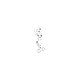 O=C1CCC(N2C(=O)c3ccc(C(=O)N4CCN(C5c6ccccc6-c6ccccc65)CC4)cc3C2=O)C(=O)N1